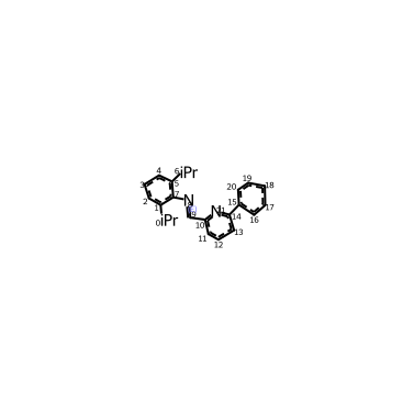 CC(C)c1cccc(C(C)C)c1/N=C/c1cccc(-c2ccccc2)n1